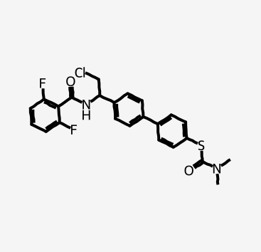 CN(C)C(=O)Sc1ccc(-c2ccc(C(CCl)NC(=O)c3c(F)cccc3F)cc2)cc1